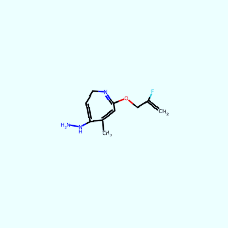 C=C(F)COC1=NCC=C(NN)C(C)=C1